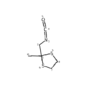 CC1(CN=C=O)SCCS1